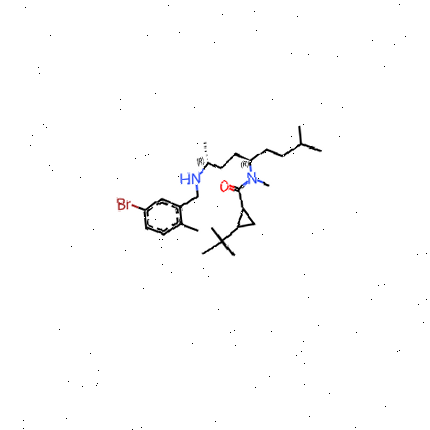 Cc1ccc(Br)cc1CN[C@H](C)CC[C@@H](CCC(C)C)N(C)C(=O)C1CC1C(C)(C)C